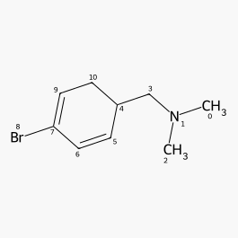 CN(C)CC1C=CC(Br)=CC1